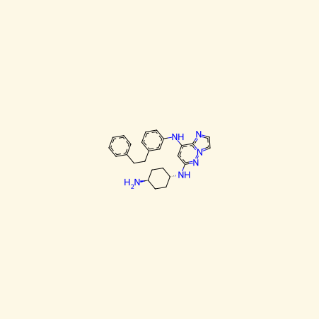 N[C@H]1CC[C@H](Nc2cc(Nc3cccc(CCc4ccccc4)c3)c3nccn3n2)CC1